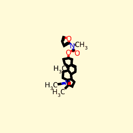 CC1C2CCC3C4CC=C5CC(OC(=O)N(C)c6ccco6)CCC5(C)C4CCC32CN1C